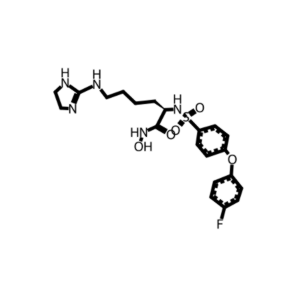 O=C(NO)[C@@H](CCCCNC1=NCCN1)NS(=O)(=O)c1ccc(Oc2ccc(F)cc2)cc1